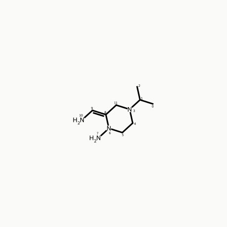 CC(C)N1CCN(N)/C(=C\N)C1